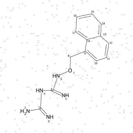 N=C(N)NC(=N)NOCc1cccc2ccccc12